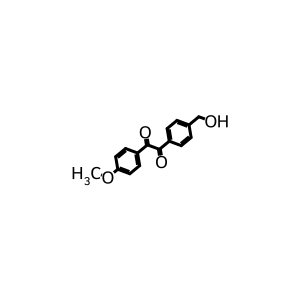 COc1ccc(C(=O)C(=O)c2ccc(CO)cc2)cc1